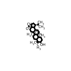 C=C(C)[C@@H]1CC[C@]2(C(C)=O)CC[C@]3(C)C(CCC4[C@@]5(C)CC[C@H](O)C(C)(C)C5CC[C@]43C)C12